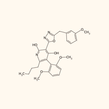 CCCCc1nc(O)c(-c2nnc(Cc3cccc(OC)c3)o2)c(O)c1-c1c(OC)cccc1OC